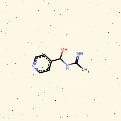 CC(=N)NC(O)c1ccncc1